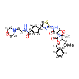 CCC1(CCOC)OC[C@@H](C(=O)Nc2nc(-c3ccc(C(=O)NCCN4CCOCC4)cc3)cs2)N1C(=O)OCc1ccccc1